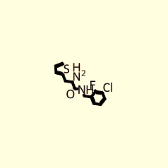 NC(Cc1cccs1)C(=O)NCc1cccc(Cl)c1F